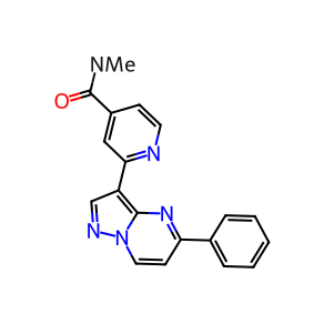 CNC(=O)c1ccnc(-c2cnn3ccc(-c4ccccc4)nc23)c1